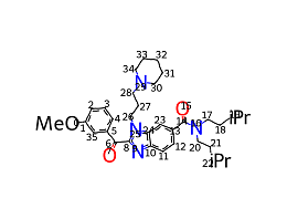 COc1cccc(C(=O)c2nc3ccc(C(=O)N(CCC(C)C)CCC(C)C)cc3n2CCCN2CCCCC2)c1